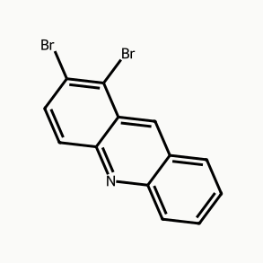 Brc1ccc2nc3ccccc3cc2c1Br